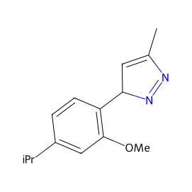 COc1cc(C(C)C)ccc1C1C=C(C)N=N1